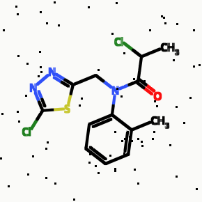 Cc1ccccc1N(Cc1nnc(Cl)s1)C(=O)C(C)Cl